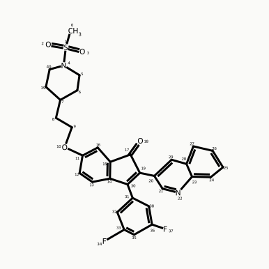 CS(=O)(=O)N1CCC(CCOc2ccc3c(c2)C(=O)C(c2cnc4ccccc4c2)=C3c2cc(F)cc(F)c2)CC1